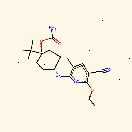 CCOc1nc(N[C@H]2CC[C@@](OC(N)=O)(C(C)(C)C)CC2)c(I)cc1C#N